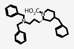 O=C(O)N1CCC(CC2=CC=CCC2)C[C@@H]1CCCN(Cc1ccccc1)Cc1ccccc1